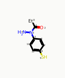 CCC(=O)N(N)c1ccc(S)cc1